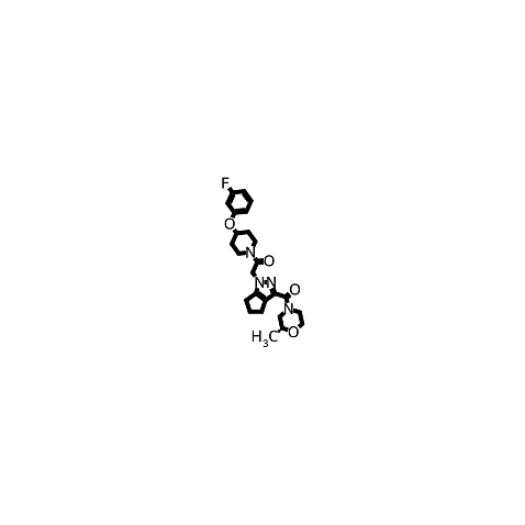 C[C@H]1CN(C(=O)c2nn(CC(=O)N3CCC(Oc4cccc(F)c4)CC3)c3c2CCC3)CCO1